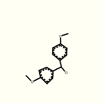 COc1ccc(C(Cl)c2ccc(OC)cc2)cc1